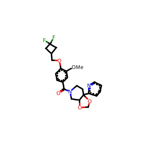 COc1cc(C(=O)N2CCC3(c4ccccn4)OCOC3C2)ccc1OCC1CC(F)(F)C1